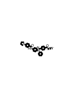 [N-]=[N+]=NC(=O)c1ccc(-c2nc3cc(NC(=O)c4ccc(N5CCCC5)cc4)ccc3n2-c2ccccc2)cc1